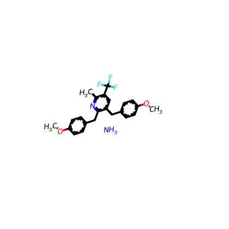 COc1ccc(Cc2cc(C(F)(F)F)c(C)nc2Cc2ccc(OC)cc2)cc1.N